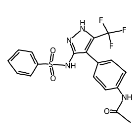 CC(=O)Nc1ccc(-c2c(NS(=O)(=O)c3ccccc3)n[nH]c2C(F)(F)F)cc1